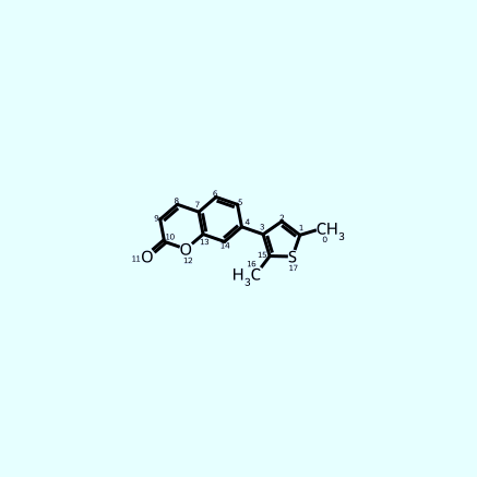 Cc1cc(-c2ccc3ccc(=O)oc3c2)c(C)s1